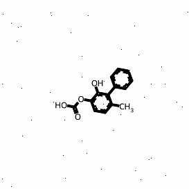 Cc1ccc(OC(=O)O)c(O)c1-c1ccccc1